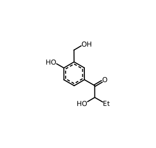 CCC(O)C(=O)c1ccc(O)c(CO)c1